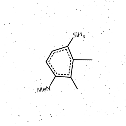 CNc1ccc([SiH3])c(C)c1C